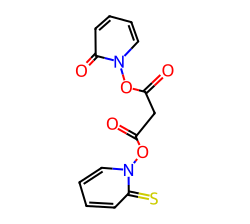 O=C(CC(=O)On1ccccc1=S)On1ccccc1=O